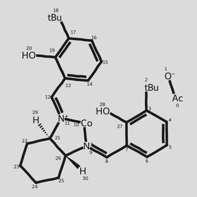 CC(=O)[O-].CC(C)(C)c1cccc(C=[N+]2[Co][N+](=Cc3cccc(C(C)(C)C)c3O)[C@@H]3CCCC[C@H]32)c1O